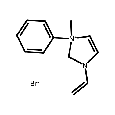 C=CN1C=C[N+](C)(c2ccccc2)C1.[Br-]